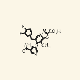 Cc1c(=O)c(Cc2ccc(F)c(F)c2)cn2nc(C(=O)O)sc12.NC(=O)c1cccnc1